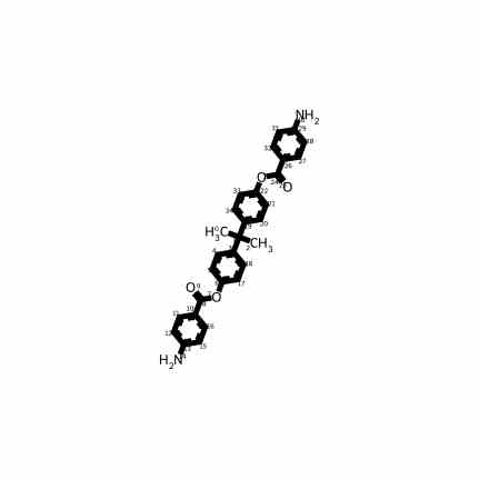 CC(C)(c1ccc(OC(=O)c2ccc(N)cc2)cc1)c1ccc(OC(=O)c2ccc(N)cc2)cc1